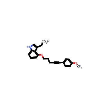 O=C(O)Cc1c[nH]c2cccc(OCCCC#Cc3ccc(OC(F)(F)F)cc3)c12